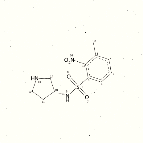 Cc1cccc(S(=O)(=O)N[C@@H]2CCNC2)c1[N+](=O)[O-]